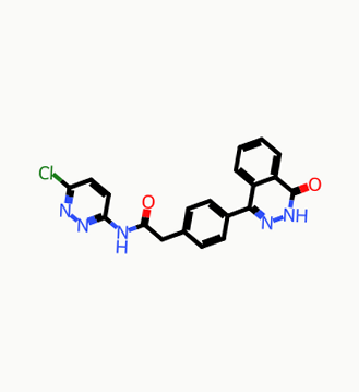 O=C(Cc1ccc(-c2n[nH]c(=O)c3ccccc23)cc1)Nc1ccc(Cl)nn1